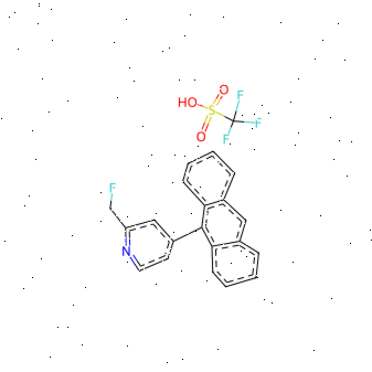 FCc1cc(-c2c3ccccc3cc3ccccc23)ccn1.O=S(=O)(O)C(F)(F)F